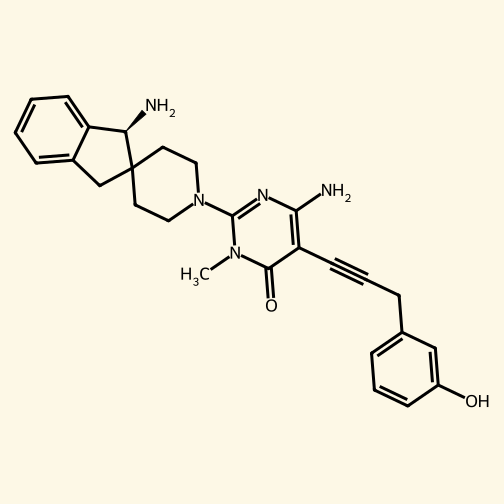 Cn1c(N2CCC3(CC2)Cc2ccccc2[C@H]3N)nc(N)c(C#CCc2cccc(O)c2)c1=O